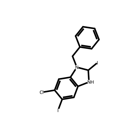 Clc1cc2c(cc1I)NC(I)N2Cc1ccccc1